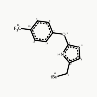 CC(C)(C)Cc1csc(Oc2ccc(C(F)(F)F)cc2)n1